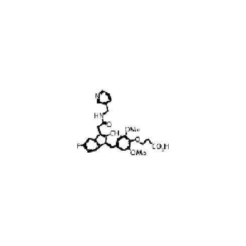 COc1cc(C=C2C(C)=C(CC(=O)NCc3cccnc3)c3cc(F)ccc32)cc(OC)c1OCCC(=O)O